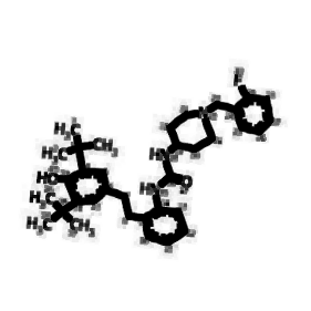 CC(C)(C)c1cc(CCc2ccccc2NC(=O)NC2CCN(Cc3ccccc3F)CC2)cc(C(C)(C)C)c1O